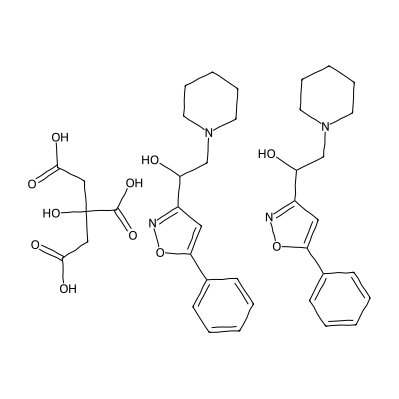 O=C(O)CC(O)(CC(=O)O)C(=O)O.OC(CN1CCCCC1)c1cc(-c2ccccc2)on1.OC(CN1CCCCC1)c1cc(-c2ccccc2)on1